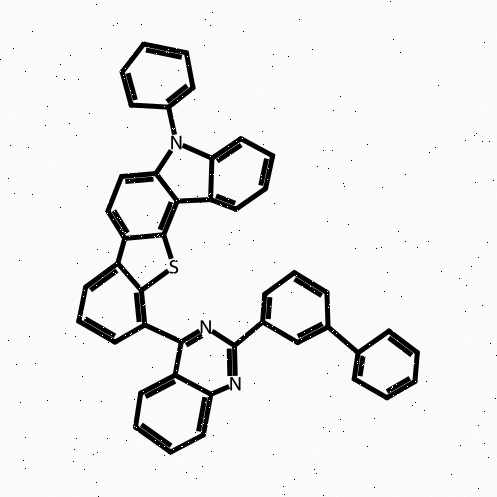 c1ccc(-c2cccc(-c3nc(-c4cccc5c4sc4c5ccc5c4c4ccccc4n5-c4ccccc4)c4ccccc4n3)c2)cc1